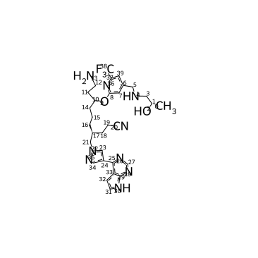 C[C@H](O)CNCc1cc(OC(CCN)CCC[C@@H](CCC#N)Cn2cc(-c3ncnc4[nH]ccc34)cn2)nc(C(F)(F)F)c1